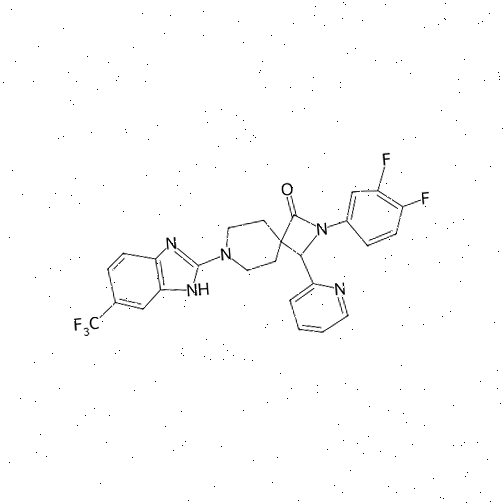 O=C1N(c2ccc(F)c(F)c2)C(c2ccccn2)C12CCN(c1nc3ccc(C(F)(F)F)cc3[nH]1)CC2